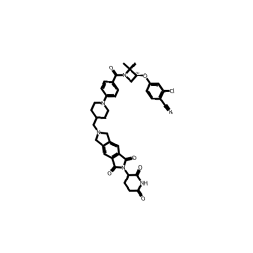 CC1(C)[C@@H](Oc2ccc(C#N)c(Cl)c2)CN1C(=O)c1ccc(N2CCC(CN3Cc4cc5c(cc4C3)C(=O)N(C3CCC(=O)NC3=O)C5=O)CC2)cc1